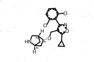 Clc1cccc(Cl)c1-c1noc(C2CC2)c1CO[C@@H]1C[C@H]2C[C@@H]1CN2